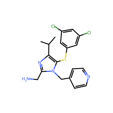 CC(C)c1nc(CN)n(Cc2ccncc2)c1Sc1cc(Cl)cc(Cl)c1